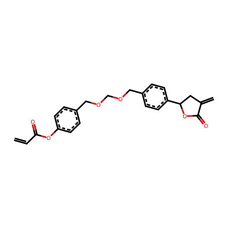 C=CC(=O)Oc1ccc(COCOCc2ccc(C3CC(=C)C(=O)O3)cc2)cc1